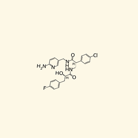 Nc1ccc(CNC(=O)[C@@H](CNC(=O)[C@H](O)Cc2ccc(F)cc2)c2ccc(Cl)cc2)cn1